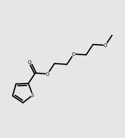 COCCOCCOC(=O)c1cccs1